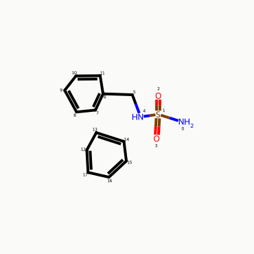 NS(=O)(=O)NCc1ccccc1.c1ccccc1